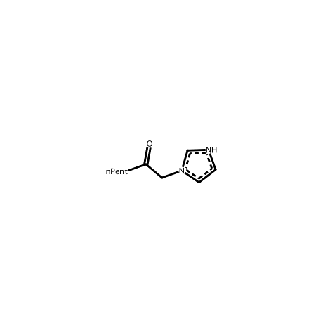 CCCCCC(=O)C[n+]1cc[nH]c1